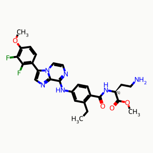 CCc1cc(Nc2nccn3c(-c4ccc(OC)c(F)c4F)cnc23)ccc1C(=O)N[C@@H](CCN)C(=O)OC